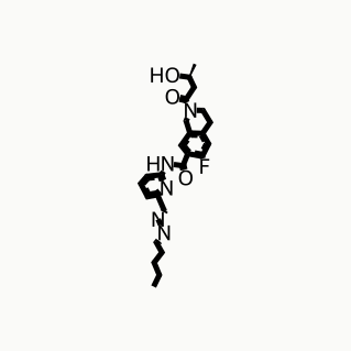 CCCC/C=N/N=C/c1cccc(NC(=O)c2cc3c(cc2F)CCN(C(=O)C[C@H](C)O)C3)n1